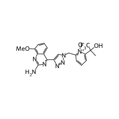 COc1cccc2c(-c3cn(Cc4cccc(C(C)(O)C(F)(F)F)[n+]4[O-])nn3)nc(N)nc12